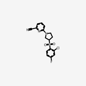 N#Cc1cccc(N2CCC(S(=O)(=O)c3ccc(F)cc3Cl)C2)n1